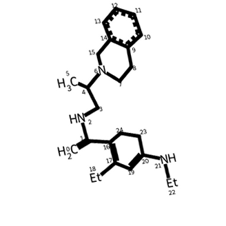 C=C(NCC(C)N1CCc2ccccc2C1)C1=C(CC)C=C(NCC)CC1